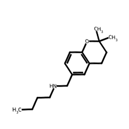 CCCCNCc1ccc2c(c1)CCC(C)(C)O2